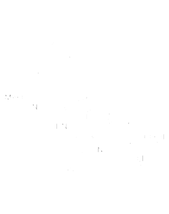 CON=C(C(=O)NC1C(=O)N2CC(Cl)(C(=O)O)CS[C@H]12)C1=CSCCS1